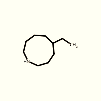 CCC1CCCCNCCC1